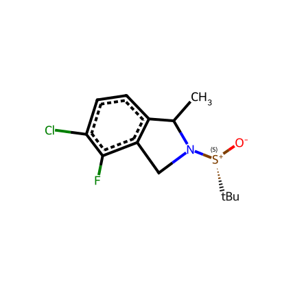 CC1c2ccc(Cl)c(F)c2CN1[S@+]([O-])C(C)(C)C